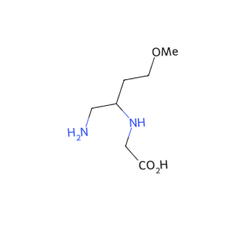 COCCC(CN)NCC(=O)O